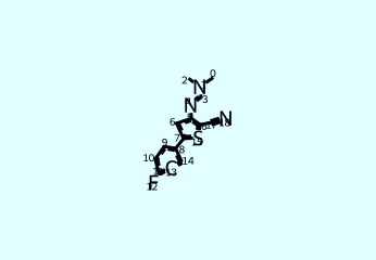 CN(C)/C=N/c1cc(-c2ccc(F)cc2)sc1C#N